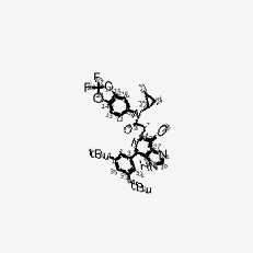 CC(C)(C)c1cc(-c2nn(CC(=O)N(c3ccc4c(c3)OC(F)(F)O4)C3CC3)c(=O)c3nc[nH]c23)cc(C(C)(C)C)c1